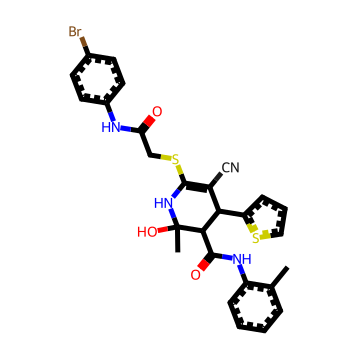 Cc1ccccc1NC(=O)C1C(c2cccs2)C(C#N)=C(SCC(=O)Nc2ccc(Br)cc2)NC1(C)O